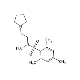 Cc1cc(C)c(S(=O)(=O)N(C)CCN2CCCC2)c(C)c1